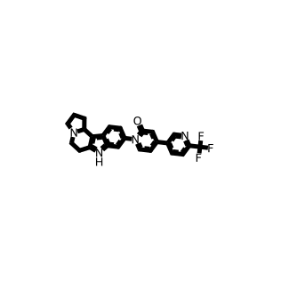 O=c1cc(-c2ccc(C(F)(F)F)nc2)ccn1-c1ccc2c3c([nH]c2c1)CCN1CCCC31